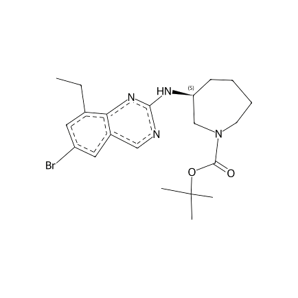 CCc1cc(Br)cc2cnc(N[C@H]3CCCCN(C(=O)OC(C)(C)C)C3)nc12